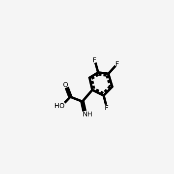 N=C(C(=O)O)c1cc(F)c(F)cc1F